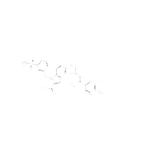 CNS(=O)(=O)c1cccc(Cn2c(C(=O)O)cc3cc(CC(C)NCC(O)c4cnc(N)c(Cl)c4)ccc32)c1